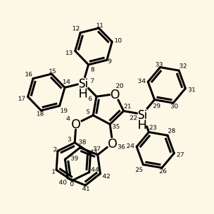 c1ccc(Oc2c([SiH](c3ccccc3)c3ccccc3)oc([SiH](c3ccccc3)c3ccccc3)c2Oc2ccccc2)cc1